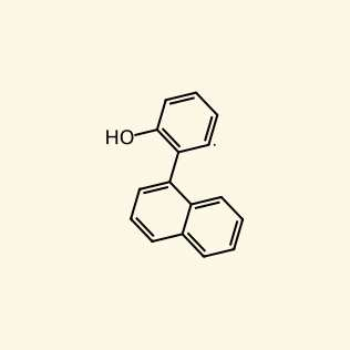 Oc1ccc[c]c1-c1cccc2ccccc12